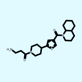 NCCC(=O)N1CCC(c2cc(C(=O)N3CCCC4CCCCC43)cs2)CC1